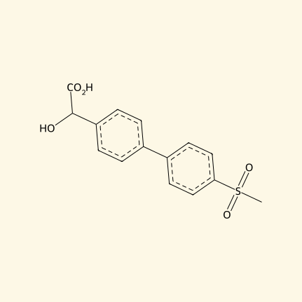 CS(=O)(=O)c1ccc(-c2ccc(C(O)C(=O)O)cc2)cc1